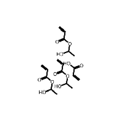 C=CC(=O)O.C=CC(=O)OC(C)O.C=CC(=O)OC(C)O.C=CC(=O)OC(C)O